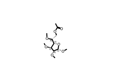 CO[C@H]1O[C@@H]([C@@H](COC(C)=O)OC)[C@H](OC)[C@H]1OC